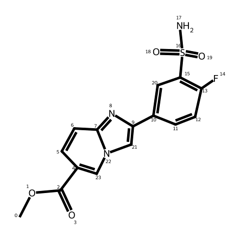 COC(=O)c1ccc2nc(-c3ccc(F)c(S(N)(=O)=O)c3)cn2c1